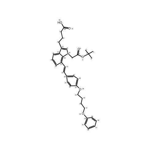 CC(C)(C)OC(=O)Cn1cc(CCCC(=O)O)c2cccc(C=Cc3ccc(OCCCCOc4ccccc4)cc3)c21